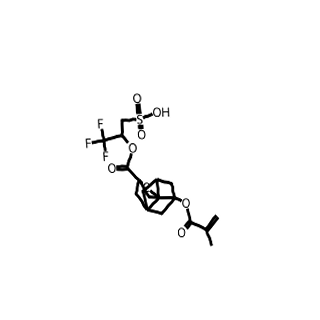 C=C(C)C(=O)OC12CC3CC4(C1)CC(C(=O)OC(CS(=O)(=O)O)C(F)(F)F)(CC34)C2